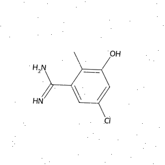 Cc1c(O)cc(Cl)cc1C(=N)N